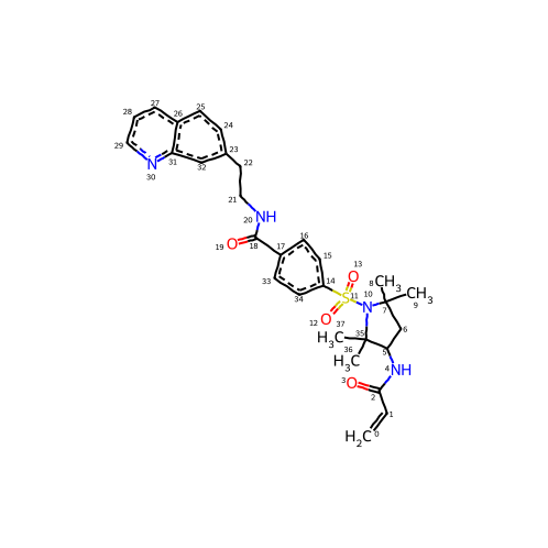 C=CC(=O)NC1CC(C)(C)N(S(=O)(=O)c2ccc(C(=O)NCCc3ccc4cccnc4c3)cc2)C1(C)C